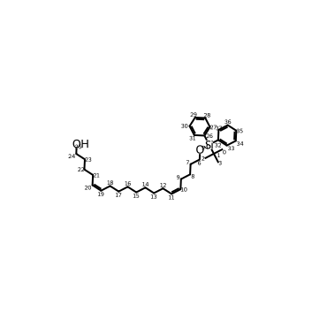 CC(C)(C)[Si](OCCCC/C=C\CCCCCCC/C=C\CCCCO)(c1ccccc1)c1ccccc1